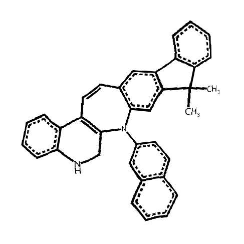 CC1(C)c2ccccc2-c2cc3c(cc21)N(c1ccc2ccccc2c1)C1=C(C=C3)c2ccccc2NC1